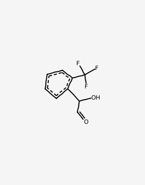 O=CC(O)c1ccccc1C(F)(F)F